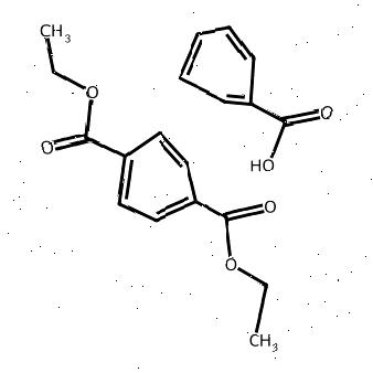 CCOC(=O)c1ccc(C(=O)OCC)cc1.O=C(O)c1ccccc1